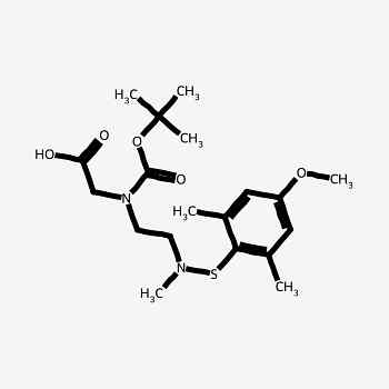 COc1cc(C)c(SN(C)CCN(CC(=O)O)C(=O)OC(C)(C)C)c(C)c1